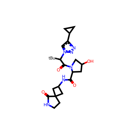 CC(C)(C)C(C(=O)N1CC(O)CC1C(=O)NC1CC2(CCNC2=O)C1)n1cc(C2CC2)nn1